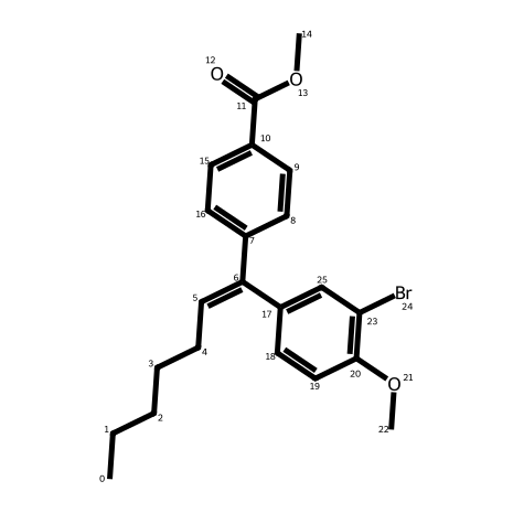 CCCCCC=C(c1ccc(C(=O)OC)cc1)c1ccc(OC)c(Br)c1